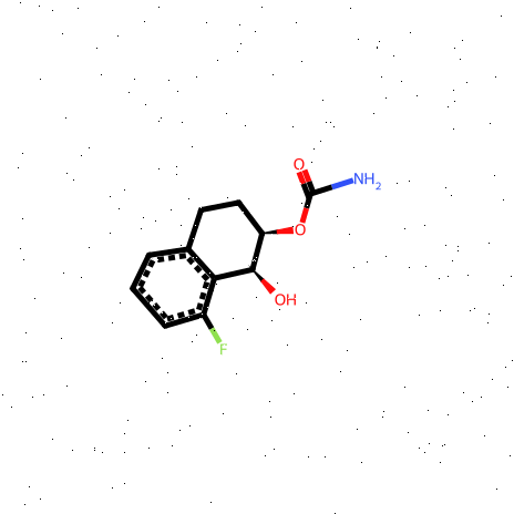 NC(=O)O[C@@H]1CCc2cccc(F)c2[C@@H]1O